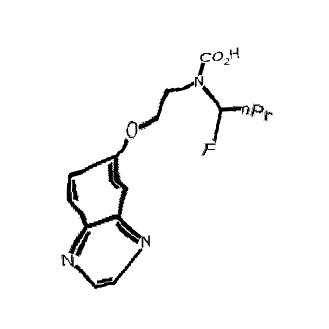 CCCC(F)N(CCOc1ccc2nccnc2c1)C(=O)O